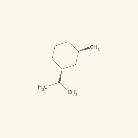 CC(C)[C@H]1CCC[C@@H](C)C1